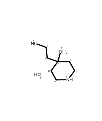 Cl.N#CCCC1(N)CCNCC1